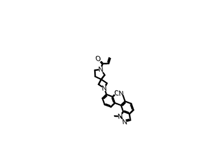 C=CC(=O)N1CCC2(C1)CN(c1cccc(-c3c(C)ccc4cnn(C)c34)c1C#N)C2